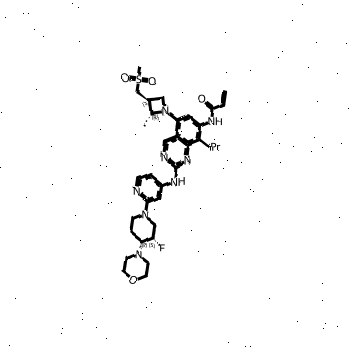 C=CC(=O)Nc1cc(N2C[C@H](CS(C)(=O)=O)[C@H]2C)c2cnc(Nc3ccnc(N4CC[C@@H](N5CCOCC5)[C@@H](F)C4)c3)nc2c1C(C)C